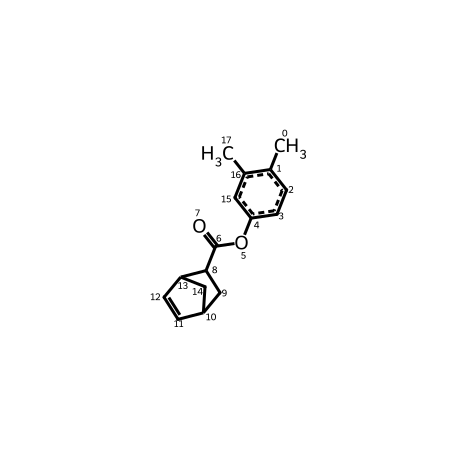 Cc1ccc(OC(=O)C2CC3C=CC2C3)cc1C